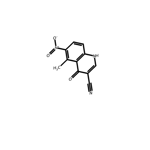 Cc1c([N+](=O)[O-])ccc2[nH]cc(C#N)c(=O)c12